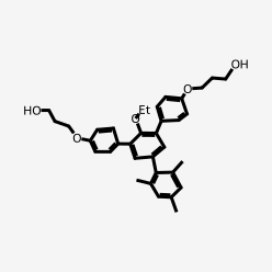 CCOc1c(-c2ccc(OCCCO)cc2)cc(-c2c(C)cc(C)cc2C)cc1-c1ccc(OCCCO)cc1